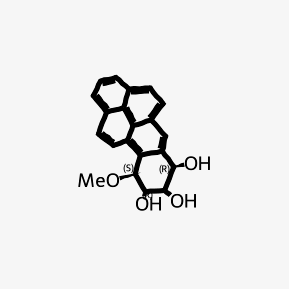 CO[C@H]1c2c(cc3ccc4cccc5ccc2c3c45)[C@@H](O)C(O)[C@H]1O